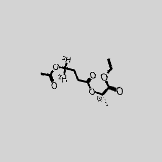 [2H]C([2H])(CCC(=O)O[C@@H](C)C(=O)OCC)OC(C)=O